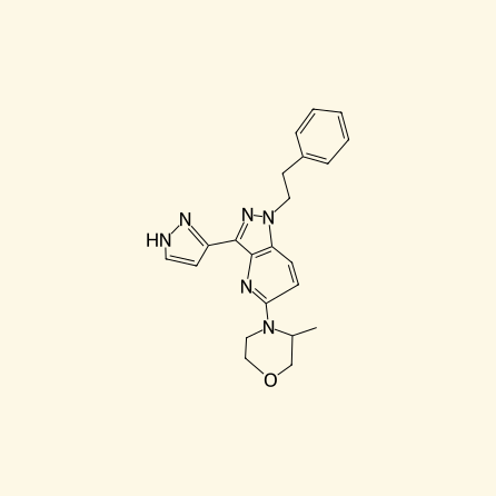 CC1COCCN1c1ccc2c(n1)c(-c1cc[nH]n1)nn2CCc1ccccc1